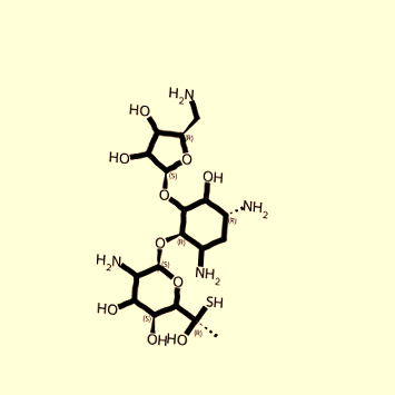 C[C@@](O)(S)C1O[C@H](O[C@@H]2C(N)C[C@@H](N)C(O)C2O[C@@H]2O[C@H](CN)C(O)C2O)C(N)C(O)[C@@H]1O